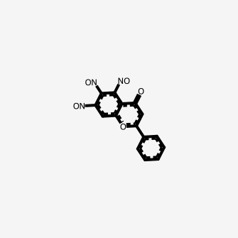 O=Nc1cc2oc(-c3ccccc3)cc(=O)c2c(N=O)c1N=O